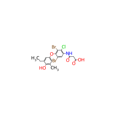 CCc1cc(Oc2c(Br)cc(NC(=O)CC(=O)O)c(Cl)c2Br)cc(C)c1O